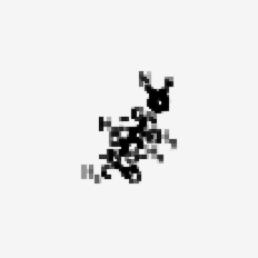 Cc1c(C(=O)C(=O)N[C@@H](C)C2COC2)c(C)n(C)c1C(=O)Nc1ccc(F)c(C#N)c1